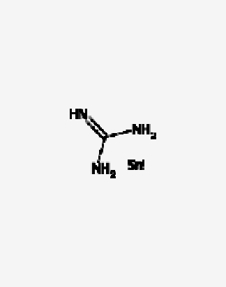 N=C(N)N.[Sn]